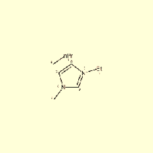 CCCC.CC[n+]1ccn(C)c1